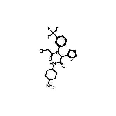 NC1CCC(NC(=O)C(c2cccs2)N(C(=O)CCl)c2cccc(C(F)(F)F)c2)CC1